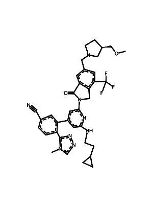 COC[C@@H]1CCN(Cc2cc3c(c(C(F)(F)F)c2)CN(c2cc(-c4cc(C#N)ccc4-c4nncn4C)cc(NCCC4CC4)n2)C3=O)C1